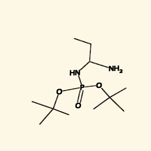 CCC(N)NP(=O)(OC(C)(C)C)OC(C)(C)C